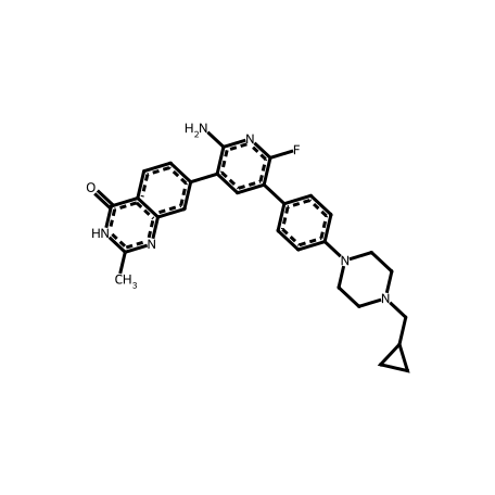 Cc1nc2cc(-c3cc(-c4ccc(N5CCN(CC6CC6)CC5)cc4)c(F)nc3N)ccc2c(=O)[nH]1